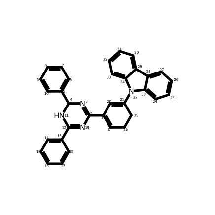 C1=C(C2=NC(c3ccccc3)NC(c3ccccc3)=N2)C=C(n2c3ccccc3c3ccccc32)CC1